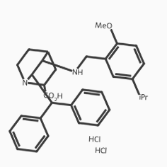 COc1ccc(C(C)C)cc1CNC1C2CCN(C(C(=O)O)C2)C1C(c1ccccc1)c1ccccc1.Cl.Cl